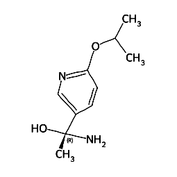 CC(C)Oc1ccc([C@](C)(N)O)cn1